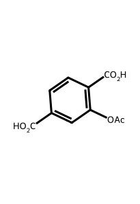 CC(=O)Oc1cc(C(=O)O)ccc1C(=O)O